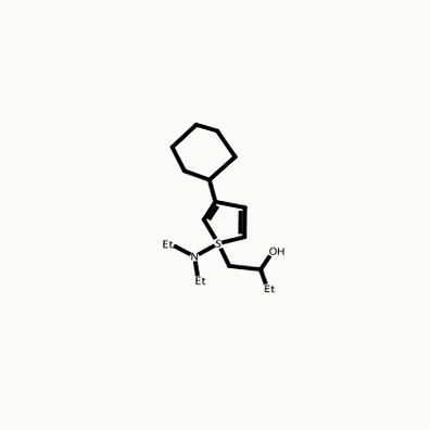 CCC(O)CS1(N(CC)CC)C=CC(C2CCCCC2)=C1